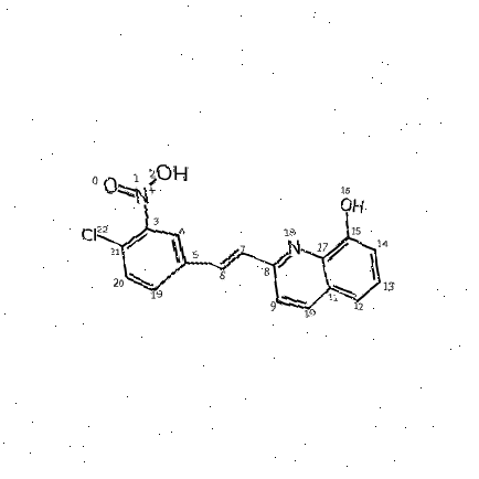 O=[N+](O)c1cc(/C=C/c2ccc3cccc(O)c3n2)ccc1Cl